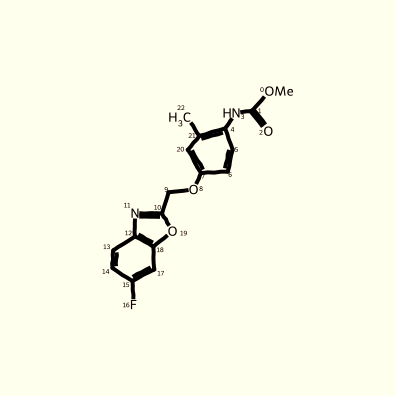 COC(=O)Nc1ccc(OCc2nc3ccc(F)cc3o2)cc1C